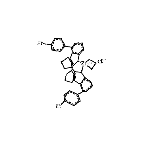 CCc1ccc(-c2cccc3c2C=C(C2CCCC2)[CH]3[Zr+2]2([CH]3C(C4CCCC4)=Cc4c(-c5ccc(CC)cc5)cccc43)[CH2]C[CH2]2)cc1.[Cl-].[Cl-]